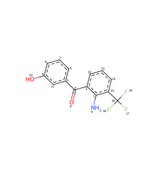 Nc1c(C(=O)c2cccc(O)c2)cccc1C(F)(F)F